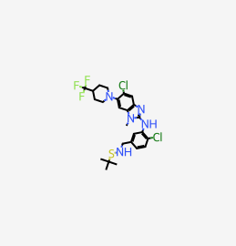 Cn1c(Nc2cc(CNSC(C)(C)C)ccc2Cl)nc2cc(Cl)c(N3CCC(C(F)(F)F)CC3)cc21